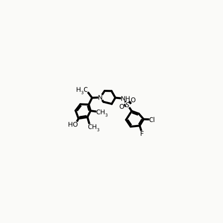 Cc1c(O)ccc(C(C)N2CCC(NS(=O)(=O)c3ccc(F)c(Cl)c3)CC2)c1C